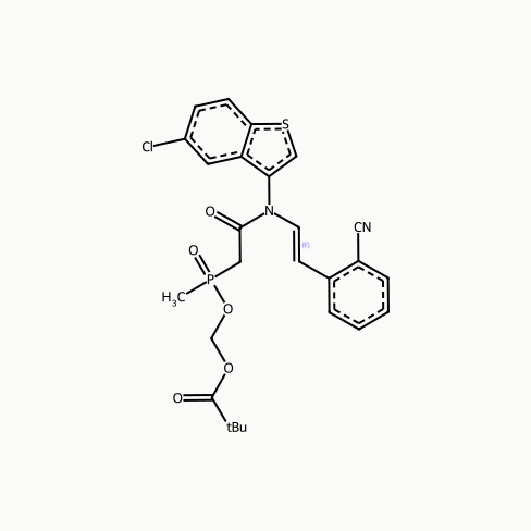 CC(C)(C)C(=O)OCOP(C)(=O)CC(=O)N(/C=C/c1ccccc1C#N)c1csc2ccc(Cl)cc12